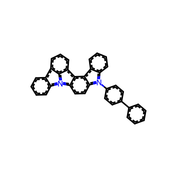 c1ccc(-c2ccc(-n3c4ccccc4c4c5c6cccc7c8ccccc8n(c5ccc43)c76)cc2)cc1